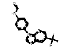 O=CNc1ccc(-n2cnc3cc(C(F)(F)F)cnc32)cc1